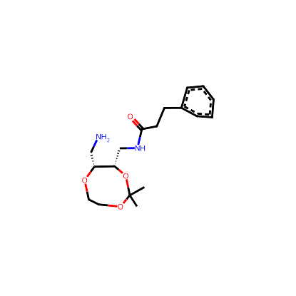 CC1(C)OCCO[C@H](CN)[C@H](CNC(=O)CCc2ccccc2)O1